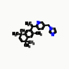 C=C(c1ccc(Cn2ccnc2)cn1)c1cc2c(cc1C)C(C)(C)C=CC2(C)C